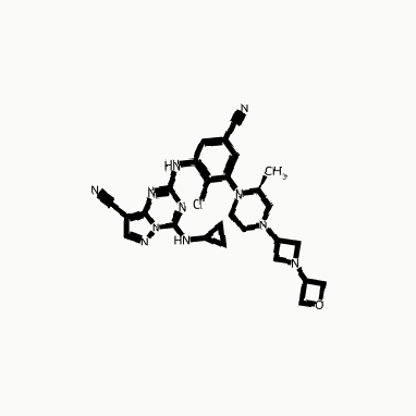 C[C@H]1CN(C2CN(C3COC3)C2)CCN1c1cc(C#N)cc(Nc2nc(NC3CC3)n3ncc(C#N)c3n2)c1Cl